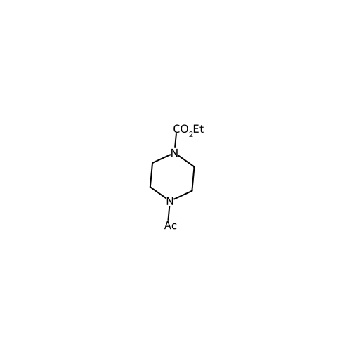 CCOC(=O)N1CCN(C(C)=O)CC1